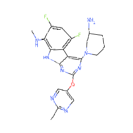 CNc1c(F)cc(F)c2c1[nH]c1nc(Oc3cnc(C)nc3)nc(N3CCCC(N)C3)c12